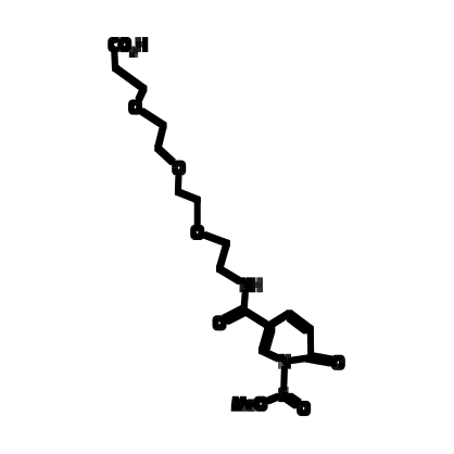 COS(=O)n1cc(C(=O)NCCOCCOCCOCCC(=O)O)ccc1=O